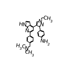 CCn1cc(-c2cc(-c3ccc(CN(C)C)cc3)nc3[nH]ccc23)c(-c2ccc(N)cc2)n1